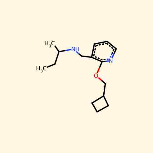 CCC(C)NCc1cccnc1OCC1CCC1